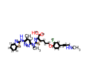 CNCC#Cc1ccc(OCCCc2sc(N(C)c3cc(C)c(Nc4nc5ccccc5s4)nn3)nc2C(=O)O)c(F)c1